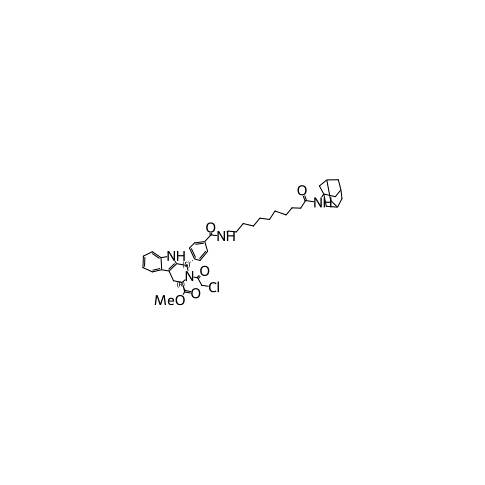 COC(=O)[C@H]1Cc2c([nH]c3ccccc23)[C@H](c2ccc(C(=O)NCCCCCCCCCCC(=O)NC34CC5CC(CC(C5)C3)C4)cc2)N1C(=O)CCl